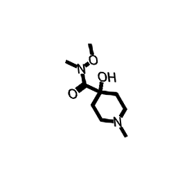 CON(C)C(=O)C1(O)CCN(C)CC1